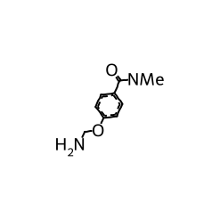 CNC(=O)c1ccc(OCN)cc1